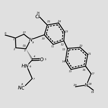 CC1C[C@@H](C(=O)NCC#N)N(c2cc(-c3ccc(CN(C)C)cc3)ccc2Cl)C1